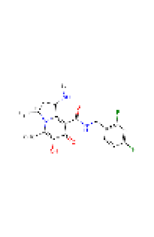 CCNC1C[C@@H](C)n2c(C=O)c(O)c(=O)c(C(=O)NCc3ccc(F)cc3F)c21